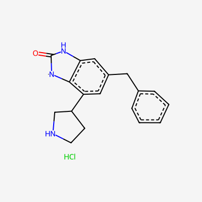 Cl.O=C1[N]c2c(cc(Cc3ccccc3)cc2C2CCNC2)N1